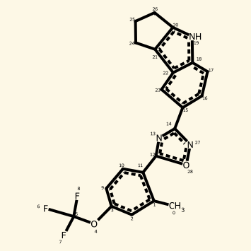 Cc1cc(OC(F)(F)F)ccc1-c1nc(-c2ccc3[nH]c4c(c3c2)CC[CH]4)no1